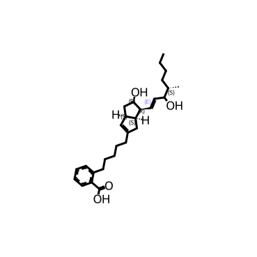 CCCC[C@H](C)C(O)/C=C/[C@H]1[C@H]2CC(CCCCCc3ccccc3C(=O)O)=C[C@H]2C[C@H]1O